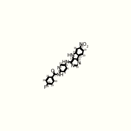 O=C(Nc1ccc(Nc2ncnc3c2[nH]c2cc([N+](=O)[O-])ccc23)cn1)c1ccc(F)cc1